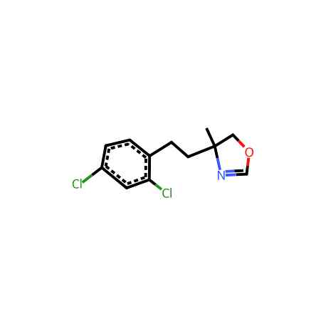 CC1(CCc2ccc(Cl)cc2Cl)COC=N1